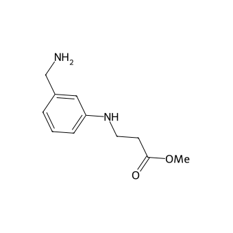 COC(=O)CCNc1cccc(CN)c1